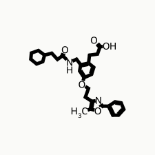 Cc1oc(-c2ccccc2)nc1CCOc1ccc(CCC(=O)O)c(CNC(=O)CCC2CCCCC2)c1